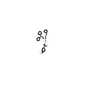 CS(=O)(=O)Nc1ccc(-c2nc(NC(=O)N(CCCc3ccccc3)CCC(c3ccccc3)c3ccccc3)sc2Cl)cc1